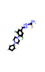 NC(=S)N/N=C/c1cc(F)c(N2CCN(C3CCCC3)CC2)c(F)c1